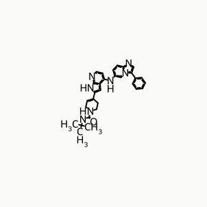 CC(C)(C)NC(=O)N1CC=C(c2cc3c(Nc4ccc5ncc(-c6ccccc6)n5c4)ccnc3[nH]2)CC1